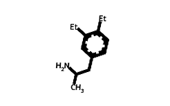 CCc1ccc(CC(C)N)cc1CC